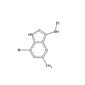 CCNc1c[nH]c2c(Br)cc(C)cc12